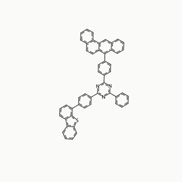 c1ccc(-c2nc(-c3ccc(-c4c5ccccc5cc5c4ccc4ccccc45)cc3)nc(-c3ccc(-c4cccc5c4sc4ccccc45)cc3)n2)cc1